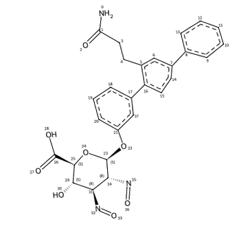 NC(=O)CCc1cc(-c2ccccc2)ccc1-c1cccc(O[C@@H]2O[C@H](C(=O)O)[C@@H](O)[C@H](N=O)[C@H]2N=O)c1